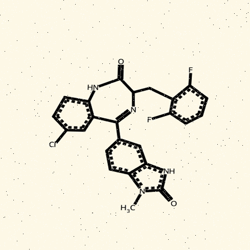 Cn1c(=O)[nH]c2cc(C3=NC(Cc4c(F)cccc4F)C(=O)Nc4ccc(Cl)cc43)ccc21